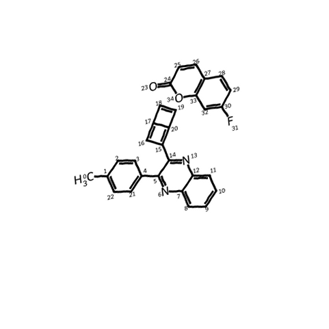 Cc1ccc(-c2nc3ccccc3nc2-c2cc3ccc2-3)cc1.O=c1ccc2ccc(F)cc2o1